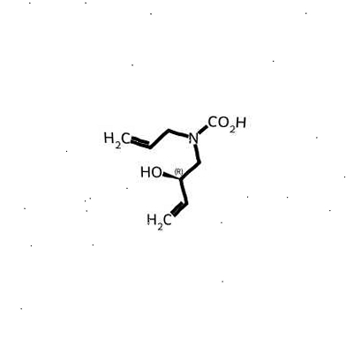 C=CCN(C[C@H](O)C=C)C(=O)O